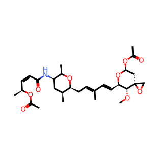 CO[C@@H]1[C@@H](/C=C/C(C)=C/C[C@@H]2O[C@H](C)[C@H](NC(=O)/C=C\[C@H](C)OC(C)=O)C[C@@H]2C)O[C@@H](OC(C)=O)C[C@@]12CO2